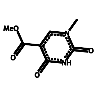 COC(=O)c1cn(C)c(=O)[nH]c1=O